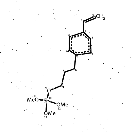 C=Cc1ccc(CCCO[Si](OC)(OC)OC)cc1